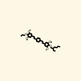 CCCCC(CC)COc1c(OC)cc(/C=C/c2ccc(/C=C/c3cc(OC)c(OCCC)c(OC)c3)cc2)cc1OC